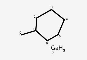 [CH2]C1CCCCC1.[GaH3]